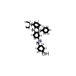 CCN(CC)c1cccc2c1nc1ccc(/N=N/c3ccc(O)cc3)cc1[n+]2-c1ccccc1